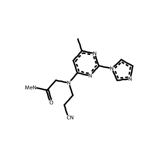 CNC(=O)CN(CCC#N)c1cc(C)nc(-n2ccnc2)n1